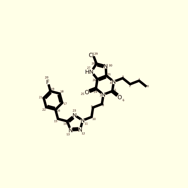 CCCCn1c(=O)n(CCCn2nnc(Cc3ccc(F)cc3)n2)c(=O)c2[nH]c(Cl)nc21